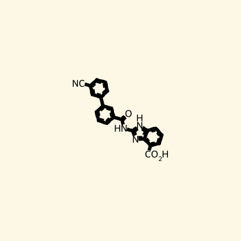 N#Cc1cccc(-c2cccc(C(=O)Nc3nc4c(C(=O)O)cccc4[nH]3)c2)c1